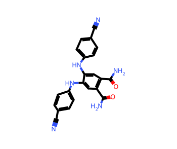 N#Cc1ccc(Nc2cc(C(N)=O)c(C(N)=O)cc2Nc2ccc(C#N)cc2)cc1